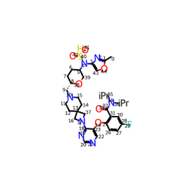 Cc1nc(N([C@@H]2CC[C@@H](CN3CCC4(CC3)CN(c3ncncc3Oc3ccc(F)cc3C(=O)N(C(C)C)C(C)C)C4)OC2)[SH](=O)=O)co1